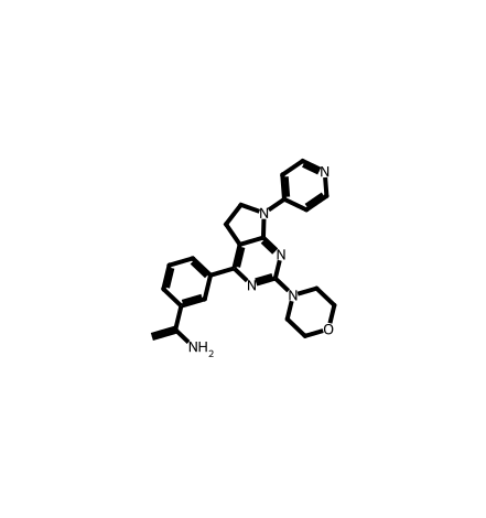 C=C(N)c1cccc(-c2nc(N3CCOCC3)nc3c2CCN3c2ccncc2)c1